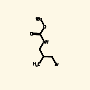 CC(CBr)CNC(=O)OC(C)(C)C